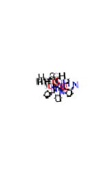 CNC1(C(=O)OC(C)(C)C)N=C(c2ccccc2)c2ccccc2N(c2cccc(C#N)c2C)C1=O